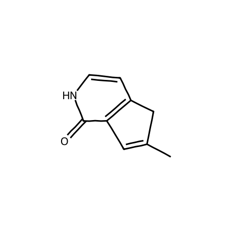 CC1=Cc2c(cc[nH]c2=O)C1